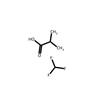 CC(C)C(=O)O.FC(F)F